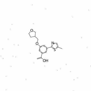 C=C(O)c1cc(OCC2CCOC2)cc(-c2ncc(C)s2)c1